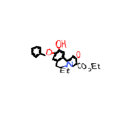 CCOC(=O)c1cn2c(cc1=O)-c1cc(O)c(OCc3ccccc3)cc1CC2CC